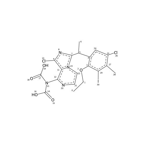 CCOc1c(C(C)c2nc(Cl)c3c(N(C(=O)O)C(=O)O)nccn23)cc(Cl)c(C)c1I